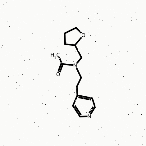 CC(=O)N(CCc1ccncc1)CC1CCCO1